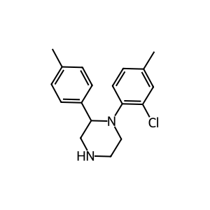 Cc1ccc(C2CNCCN2c2ccc(C)cc2Cl)cc1